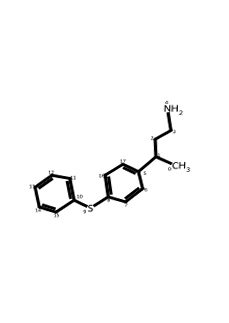 CC(CCN)c1ccc(Sc2ccccc2)cc1